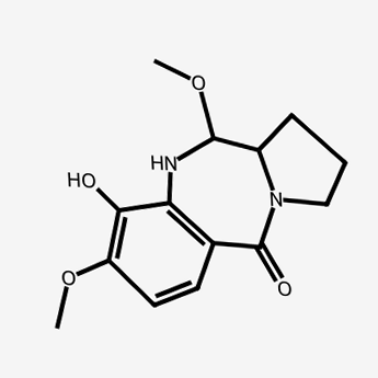 COc1ccc2c(c1O)NC(OC)C1CCCN1C2=O